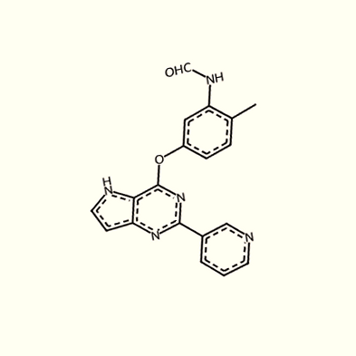 Cc1ccc(Oc2nc(-c3cccnc3)nc3cc[nH]c23)cc1NC=O